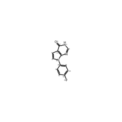 O=c1[nH]cnc2c1ccn2-c1ccc(F)cc1